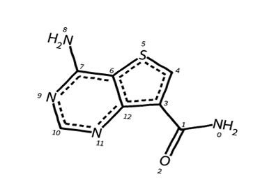 NC(=O)c1csc2c(N)ncnc12